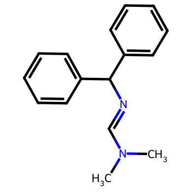 CN(C)C=NC(c1ccccc1)c1ccccc1